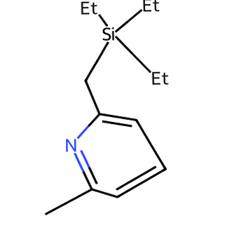 CC[Si](CC)(CC)Cc1cccc(C)n1